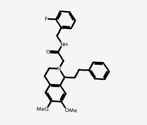 COc1cc2c(cc1OC)C(CCc1ccccc1)N(CC(=O)NCc1ccccc1F)CC2